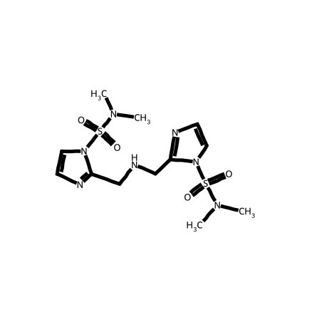 CN(C)S(=O)(=O)n1ccnc1CNCc1nccn1S(=O)(=O)N(C)C